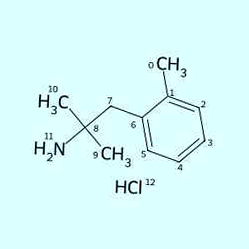 Cc1ccccc1CC(C)(C)N.Cl